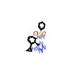 O=S(=O)(Nc1cccc(C2CC2)c1-c1nnn[nH]1)c1ccccc1